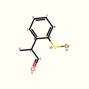 CC(C=O)c1ccccc1SBr